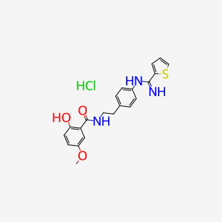 COc1ccc(O)c(C(=O)NCCc2ccc(NC(=N)c3cccs3)cc2)c1.Cl